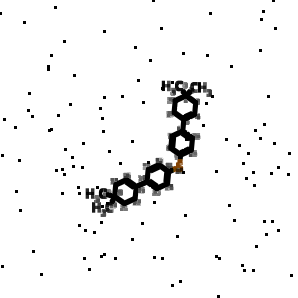 CC1(C)CC=C(c2ccc(Sc3ccc(C4=CCC(C)(C)CC4)cc3)cc2)CC1